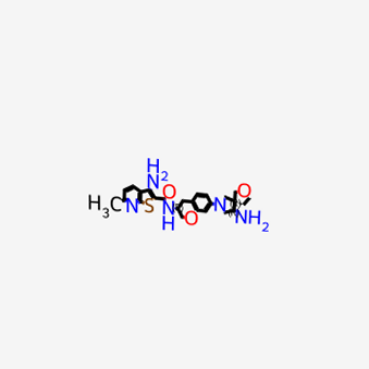 Cc1ccc2c(N)c(C(=O)N[C@H]3COc4cc(N5C[C@H](N)[C@@]6(CCOC6)C5)ccc4C3)sc2n1